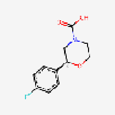 O=C(O)N1CCO[C@@H](c2ccc(F)cc2)C1